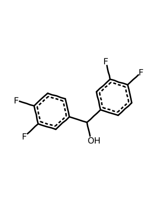 OC(c1ccc(F)c(F)c1)c1ccc(F)c(F)c1